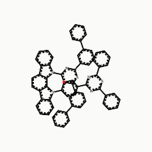 c1ccc(-c2cccc(-c3nc(-c4cccc(-c5ccccc5)c4)nc(-n4c5ccccc5c5ccc6c7ccccc7n(-c7ccc(-c8nc(-c9ccccc9)nc(-c9ccccc9)n8)cc7)c6c54)n3)c2)cc1